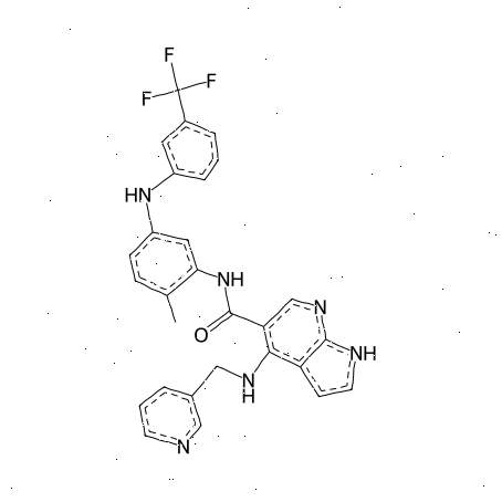 Cc1ccc(Nc2cccc(C(F)(F)F)c2)cc1NC(=O)c1cnc2[nH]ccc2c1NCc1cccnc1